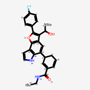 CNC(O)c1c(-c2ccc(F)cc2)oc2c1cc(C1C=C(C(=O)NCC(C)(C)C)C=CC1)c1[nH]ccc12